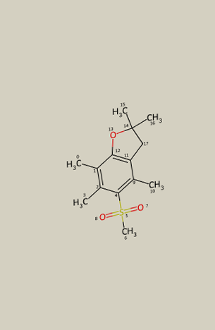 Cc1c(C)c(S(C)(=O)=O)c(C)c2c1OC(C)(C)C2